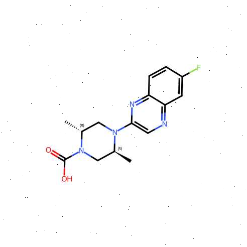 C[C@@H]1CN(c2cnc3cc(F)ccc3n2)[C@@H](C)CN1C(=O)O